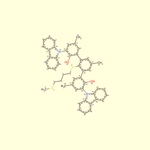 CSCCCCSc1c(-c2cc(C)cc(-n3c4ccccc4c4ccccc43)c2O)cc(C)cc1-c1cc(C)cc(-n2c3ccccc3c3ccccc32)c1O